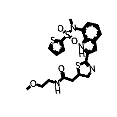 COCCNC(=O)CC1CN=C(c2cc3cccc(N(C)S(=O)(=O)c4cccs4)c3[nH]2)S1